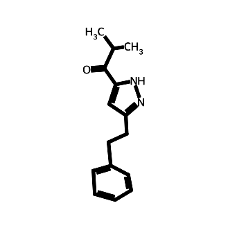 CC(C)C(=O)c1cc(CCc2ccccc2)n[nH]1